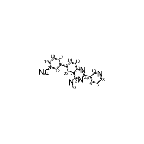 C=Nc1nc(-c2cccnc2)nc2ccc(-c3cccc(C#N)c3)cc12